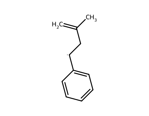 C=C(C)C[CH]c1ccccc1